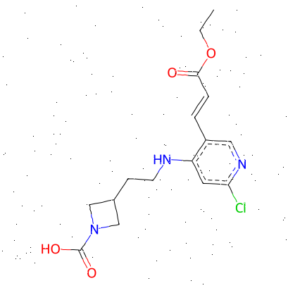 CCOC(=O)/C=C/c1cnc(Cl)cc1NCCC1CN(C(=O)O)C1